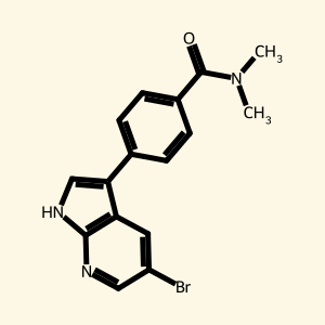 CN(C)C(=O)c1ccc(-c2c[nH]c3ncc(Br)cc23)cc1